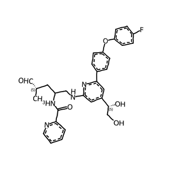 C[C@H](C=O)CC(CNc1cc([C@H](O)CO)cc(-c2ccc(Oc3ccc(F)cc3)cc2)n1)NC(=O)c1ccccn1